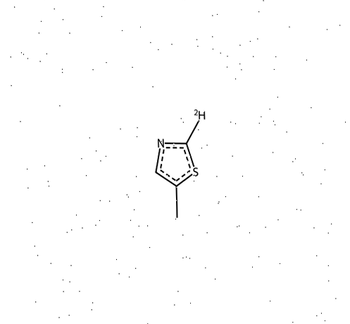 [2H]c1ncc(C)s1